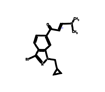 CCc1nn(CC2CC2)c2cc(C(=O)/C=C/N(C)C)ccc12